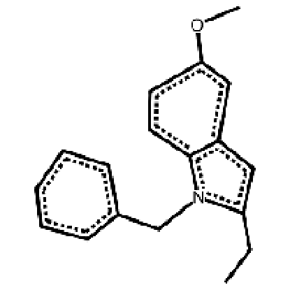 CCc1cc2cc(OC)ccc2n1Cc1ccccc1